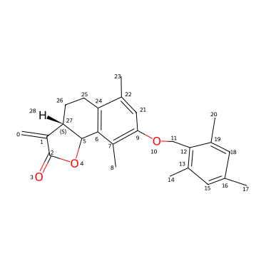 C=C1C(=O)OC2c3c(C)c(OCc4c(C)cc(C)cc4C)cc(C)c3CC[C@@H]12